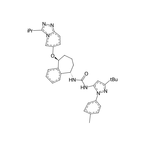 Cc1ccc(-n2nc(C(C)(C)C)cc2NC(=O)N[C@H]2CCC[C@H](Oc3ccc4nnc(C(C)C)n4c3)c3ccccc32)cc1